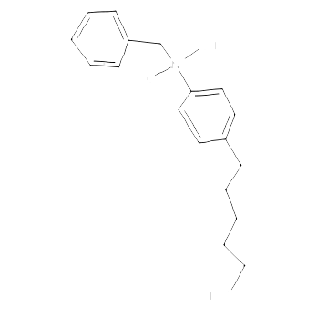 CCCCCCc1ccc([N+](C)(C)Cc2ccccc2)cc1.[F-]